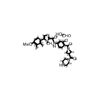 COc1ccc(-c2cnc(C(=O)Nc3ccc(C(=O)N4CC(C(=O)N5CCNCC5)C4)c(Cl)c3)n2C)c(F)c1F.O=CO